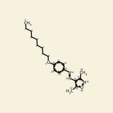 CCCCCCCCCOc1ccc(N=Nc2c(C)noc2C)cc1